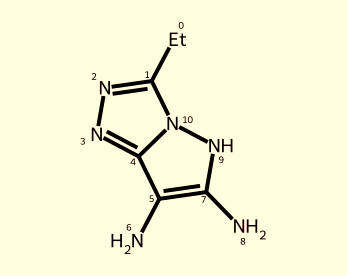 CCc1nnc2c(N)c(N)[nH]n12